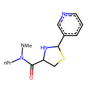 CCCN(NC)C(=O)C1CSC(c2cccnc2)N1